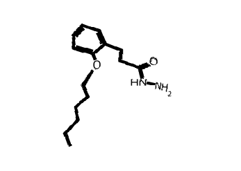 CCCCCCOc1ccccc1CCC(=O)NN